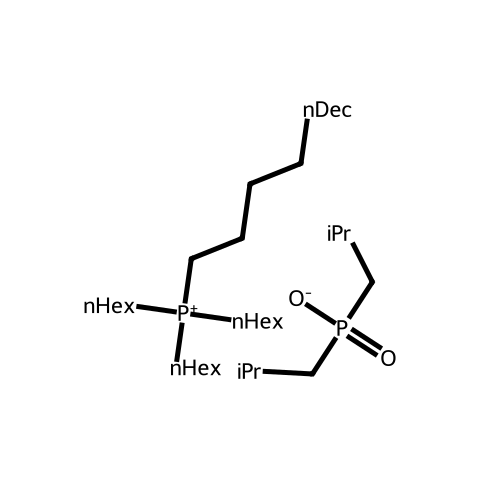 CC(C)CP(=O)([O-])CC(C)C.CCCCCCCCCCCCCC[P+](CCCCCC)(CCCCCC)CCCCCC